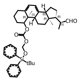 C[C@H](C=O)[C@H]1CC[C@H]2C3=CC=C4CCCC(OC(=O)OCO[Si](c5ccccc5)(c5ccccc5)C(C)(C)C)[C@]4(C)[C@H]3CC[C@]12C